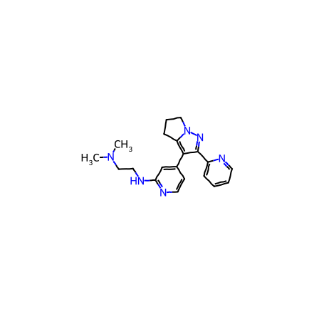 CN(C)CCNc1cc(-c2c(-c3ccccn3)nn3c2CCC3)ccn1